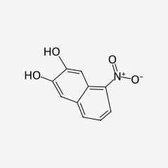 O=[N+]([O-])c1cccc2cc(O)c(O)cc12